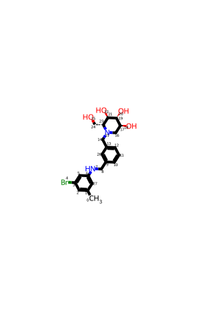 Cc1cc(Br)cc(NCc2cccc(CN3C[C@H](O)[C@@H](O)[C@H](O)[C@H]3CO)c2)c1